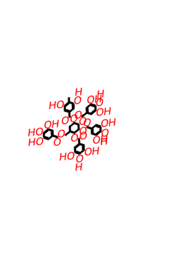 Cc1c(O)cc(C(=O)O[C@@H]2CC(COC(=O)c3cc(O)c(O)c(O)c3)[C@@H](OC(=O)c3cc(O)c(O)c(O)c3)[C@H](OC(=O)c3cc(O)c(O)c(O)c3)C2OC(=O)c2cc(O)c(O)c(O)c2)cc1O